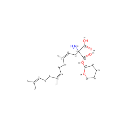 CC(C)=CCCC(C)=CCCC(C)=CCC(N)(C(=O)O)C(=O)OC1CCCCO1